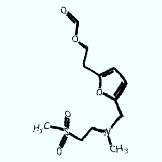 CN(CCS(C)(=O)=O)Cc1ccc(CCOC=O)o1